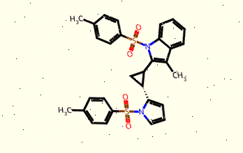 Cc1ccc(S(=O)(=O)n2cccc2[C@@H]2CC2c2c(C)c3ccccc3n2S(=O)(=O)c2ccc(C)cc2)cc1